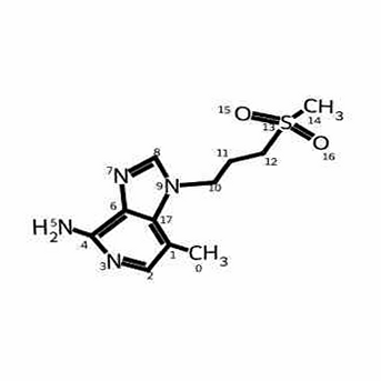 Cc1cnc(N)c2ncn(CCCS(C)(=O)=O)c12